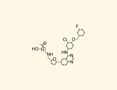 C[SH](=O)(CO)CCNCc1ccc(-c2ccc3ncnc(Nc4ccc(OCc5cccc(F)c5)c(Cl)c4)c3c2)o1